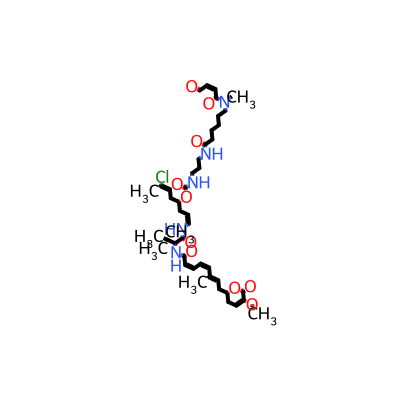 COC1=CCC(C/C=C(C)/C=C\C=C/C(=O)NC(C(=O)N/C=C\CC(C/C=C(\C)Cl)OC(=O)NCCCNC(=O)CCCCCN(C)C(=O)/C=C\C=O)C(C)(C)C)OC1=O